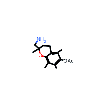 CC(=O)Oc1c(C)c(C)c2c(c1C)CCC(C)(CN)O2